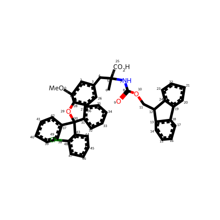 COc1cc(CC(C)(NC(=O)OCC2c3ccccc3-c3ccccc32)C(=O)O)ccc1OC(c1ccccc1)(c1ccccc1)c1ccccc1Cl